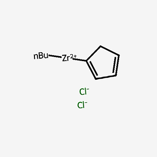 CCC[CH2][Zr+2][C]1=CC=CC1.[Cl-].[Cl-]